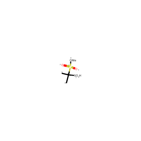 COS(=O)(=O)C(C)(C)S(=O)(=O)O